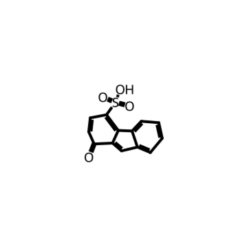 O=C1C=CC(S(=O)(=O)O)=C2C1=Cc1ccccc12